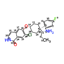 CC[C@@H](N)[C@]1(c2ccc(F)cc2)CC[C@@H](Oc2cc3cc[nH]c(=O)c3cc2Cl)CC1